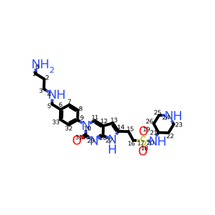 NCCCNCc1ccc(-n2cc3cc(CCS(=O)(=O)NC4CCNCC4)[nH]c3nc2=O)cc1